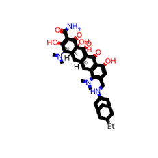 CCC1CC2CC(C1)CC(NCc1cc(O)c3c(c1N(C)C)C[C@H]1C[C@H]4[C@H](N(C)C)C(O)=C(C(N)=O)C(=O)[C@@]4(O)C(O)=C1C3=O)C2